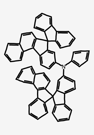 c1ccc(N(c2ccc3c(c2)C2(c4ccccc4-3)c3ccccc3-c3c2ccc2ccccc32)c2ccc3c(c2)C2(c4ccccc4-c4ccccc42)c2ccc4ccccc4c2-3)cc1